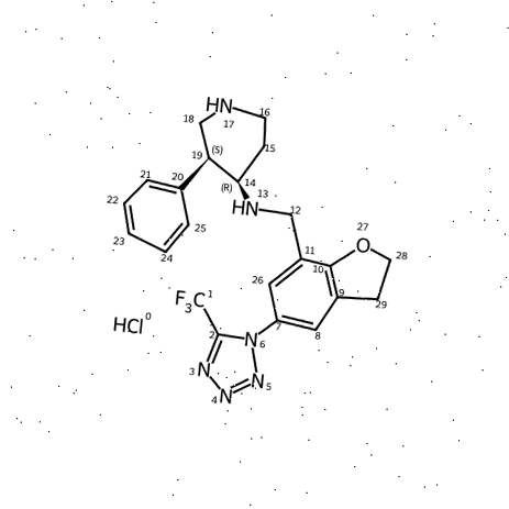 Cl.FC(F)(F)c1nnnn1-c1cc2c(c(CN[C@@H]3CCNC[C@@H]3c3ccccc3)c1)OCC2